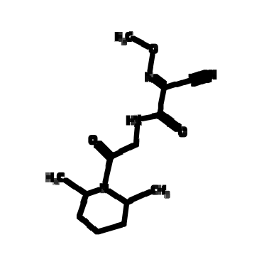 CON=C(C#N)C(=O)NCC(=O)N1C(C)CCCC1C